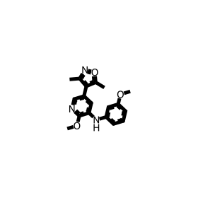 COc1cccc(Nc2cc(-c3c(C)noc3C)cnc2OC)c1